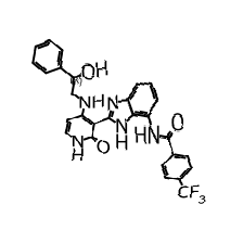 O=C(Nc1cccc2nc(-c3c(NC[C@H](O)c4ccccc4)cc[nH]c3=O)[nH]c12)c1ccc(C(F)(F)F)cc1